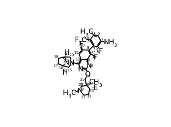 Cc1cc(N)c(F)c(-c2c(F)cc3c(N4C[C@H]5CC[C@@H](C4)N5)nc(OC[C@]4(C)CN(C)CC[C@H]4F)nc3c2F)c1C(F)(F)F